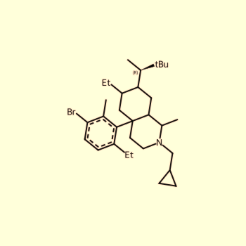 CCc1ccc(Br)c(C)c1C12CCN(CC3CC3)C(C)C1CC([C@@H](C)C(C)(C)C)C(CC)C2